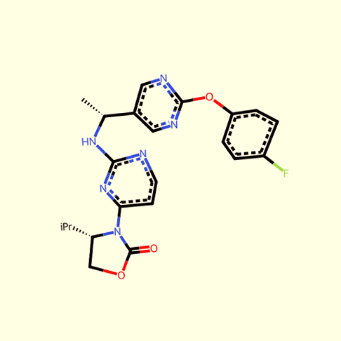 CC(C)[C@H]1COC(=O)N1c1ccnc(N[C@H](C)c2cnc(Oc3ccc(F)cc3)nc2)n1